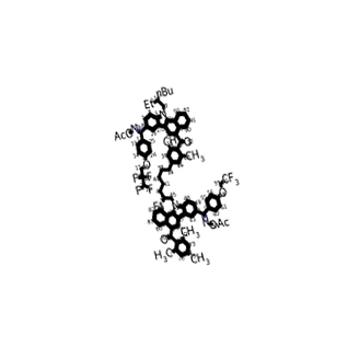 CCCCC(CC)Cn1c2ccc(/C(=N/OC(C)=O)c3ccc(OCC(F)(F)C(F)F)cc3)cc2c2cc(C(=O)c3c(C)cc(CCCCCC(CC)Cn4c5ccc(/C(=N/OC(C)=O)c6ccc(OCC(F)(F)F)cc6)cc5c5cc(C(=O)c6c(C)cc(C)cc6C)c6ccccc6c54)cc3C)c3ccccc3c21